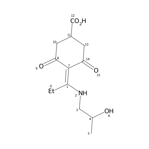 CCC(NCC(C)O)=C1C(=O)CC(C(=O)O)CC1=O